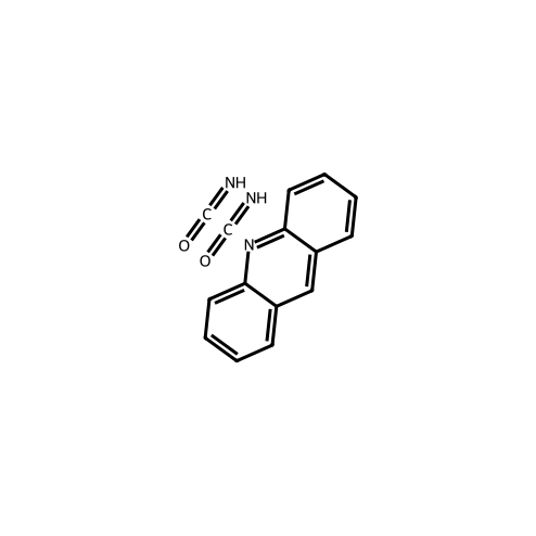 N=C=O.N=C=O.c1ccc2nc3ccccc3cc2c1